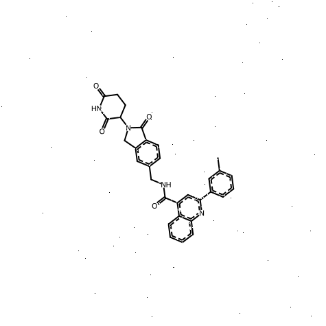 Cc1cccc(-c2cc(C(=O)NCc3ccc4c(c3)CN(C3CCC(=O)NC3=O)C4=O)c3ccccc3n2)c1